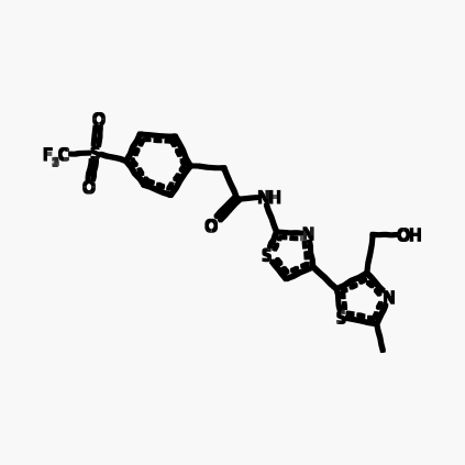 Cc1nc(CO)c(-c2csc(NC(=O)Cc3ccc(S(=O)(=O)C(F)(F)F)cc3)n2)s1